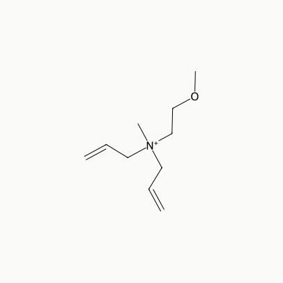 C=CC[N+](C)(CC=C)CCOC